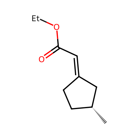 CCOC(=O)/C=C1\CC[C@@H](C)C1